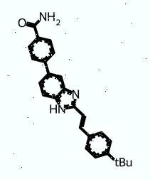 CC(C)(C)c1ccc(C=Cc2nc3cc(-c4ccc(C(N)=O)cc4)ccc3[nH]2)cc1